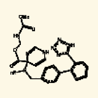 CCCN(Cc1ccc(-c2ccccc2-c2nnn[nH]2)cc1)C1(C(=O)OCNC(=O)OC)C=CNC=N1